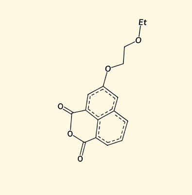 CCOCCOc1cc2c3c(cccc3c1)C(=O)OC2=O